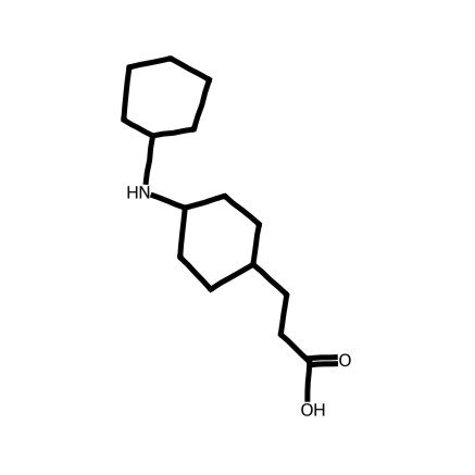 O=C(O)CCC1CCC(NC2CCCCC2)CC1